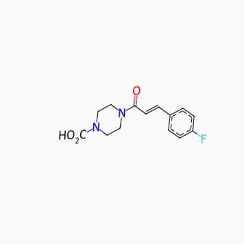 O=C(O)N1CCN(C(=O)/C=C/c2ccc(F)cc2)CC1